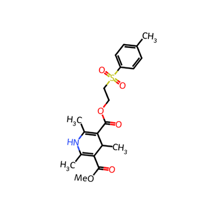 COC(=O)C1=C(C)NC(C)=C(C(=O)OCCS(=O)(=O)c2ccc(C)cc2)C1C